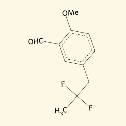 COc1ccc(CC(C)(F)F)cc1C=O